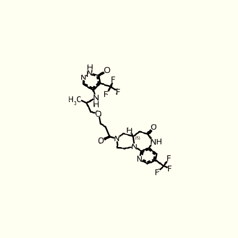 CC(COCCC(=O)N1CCN2c3ncc(C(F)(F)F)cc3NC(=O)C[C@H]2C1)Nc1cn[nH]c(=O)c1C(F)(F)F